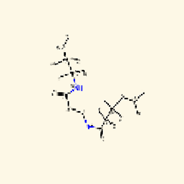 C=C(CCNC(=C)C(C)(C)C(C)(C)CC(C)C)NC(C)(C)C(C)(C)CC